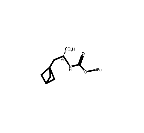 CC(C)(C)OC(=O)N[C@H](CC12CC(C1)C2)C(=O)O